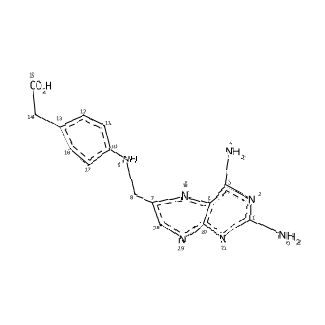 Nc1nc(N)c2nc(CNc3ccc(CC(=O)O)cc3)cnc2n1